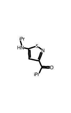 CC(C)Nc1cc(C(=O)C(C)C)ns1